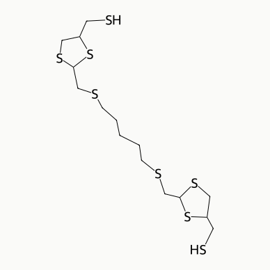 SCC1CSC(CSCCCCCSCC2SCC(CS)S2)S1